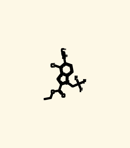 [C-]#[N+]c1ccc2c(cc(C(=O)OCC)n2CC(F)(F)F)c1Cl